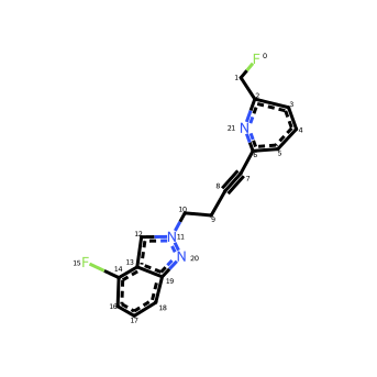 FCc1cccc(C#CCCn2cc3c(F)cccc3n2)n1